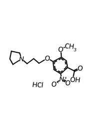 COc1cc(C(=O)O)c([N+](=O)[O-])cc1OCCCN1CCCC1.Cl